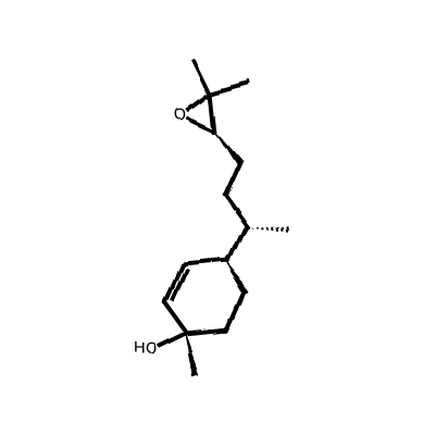 C[C@@H](CC[C@H]1OC1(C)C)[C@@H]1C=C[C@@](C)(O)CC1